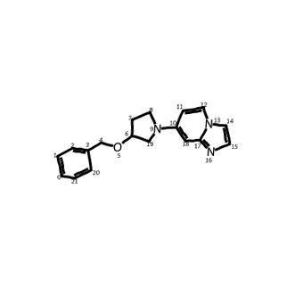 c1ccc(COC2CCN(c3ccn4ccnc4c3)C2)cc1